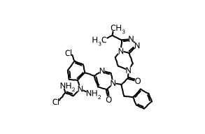 CC(C)c1nnc2n1CCN(C(=O)C(Cc1ccccc1)n1cnc(-c3cc(Cl)ccc3N(N)/C=C(\N)Cl)cc1=O)C2